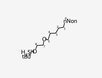 CCCCCCCCCCCCCCOCCO[SiH2]C(C)(C)C